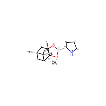 CC1(C)C2C[C@H]1C[C@H]1OB([C@@H]3CCCN3)O[C@@]21C